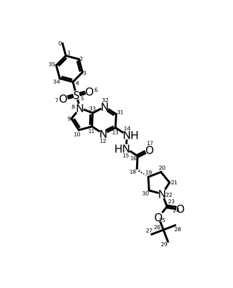 Cc1ccc(S(=O)(=O)n2ccc3nc(NNC(=O)C[C@@H]4CCN(C(=O)OC(C)(C)C)C4)cnc32)cc1